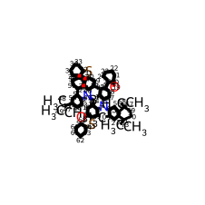 Cc1cc2c(cc1N1c3cc4c(cc3B3c5c1cc1oc6ccccc6c1c5-c1cc5sc6ccccc6c5cc1N3c1ccc(C(C)(C)C)cc1-c1ccccc1)Oc1ccccc1S4)C(C)(C)CCC2(C)C